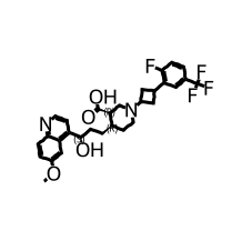 COc1ccc2nccc([C@@H](O)CC[C@@H]3CCN(C4CC(c5cc(C(F)(F)F)ccc5F)C4)C[C@@H]3C(=O)O)c2c1